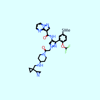 CSc1ccc(OC(F)F)c(-c2nn(CC(=O)N3CCC(NCC4(C5C=N5)CC4)CC3)cc2NC(=O)c2cnn3cccnc23)c1